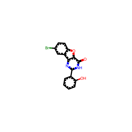 O=c1[nH]c(-c2ccccc2O)nc2c1oc1ccc(Br)cc12